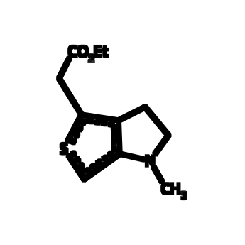 CCOC(=O)Cc1scc2c1CCN2C